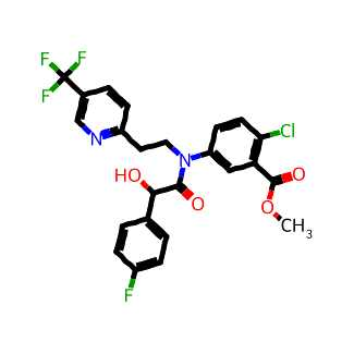 COC(=O)c1cc(N(CCc2ccc(C(F)(F)F)cn2)C(=O)C(O)c2ccc(F)cc2)ccc1Cl